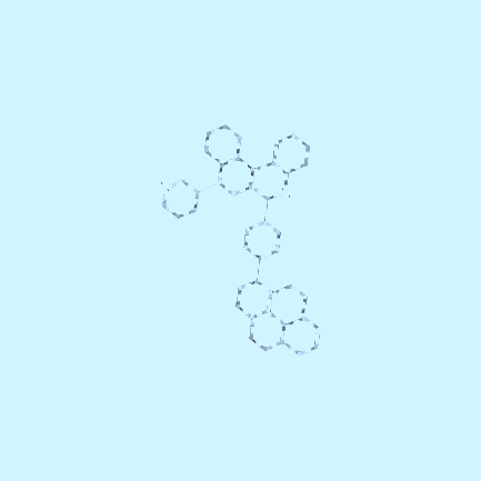 c1cncc(-c2cc3c(-c4ccc(-c5ccc6ccc7cccc8ccc5c6c78)cc4)nc4ccccc4c3c3ccccc23)c1